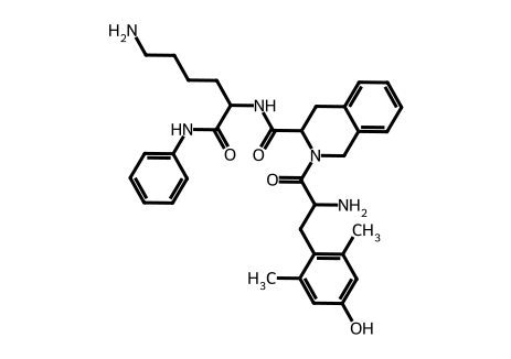 Cc1cc(O)cc(C)c1CC(N)C(=O)N1Cc2ccccc2CC1C(=O)NC(CCCCN)C(=O)Nc1ccccc1